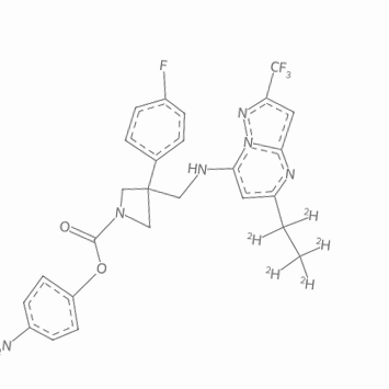 [2H]C([2H])([2H])C([2H])([2H])c1cc(NCC2(c3ccc(F)cc3)CN(C(=O)Oc3ccc([N+](=O)[O-])cc3)C2)n2nc(C(F)(F)F)cc2n1